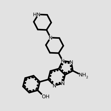 Nc1nn(C2CCN(C3CCNCC3)CC2)c2cc(-c3ccccc3O)nnc12